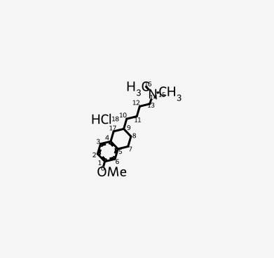 COc1ccc2c(c1)CCC(CCCCN(C)C)C2.Cl